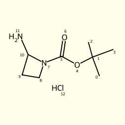 CC(C)(C)OC(=O)N1CCC1N.Cl